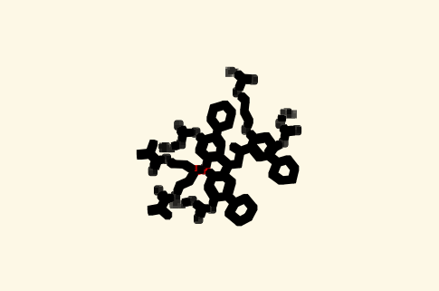 C=C(C)C(=O)OCCCOc1cc(OC(=O)OC(C)(C)C)c(C2CCCCC2)cc1C(CC(C)c1cc(C2CCCCC2)c(OC(=O)OC(C)(C)C)cc1OCCCOC(=O)C(C)C)c1cc(C2CCCCC2)c(OC(=O)OC(C)(C)C)cc1OCCCOC(=O)C(=C)C